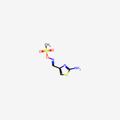 CS(=O)(=O)O/N=[C]/c1csc(N)n1